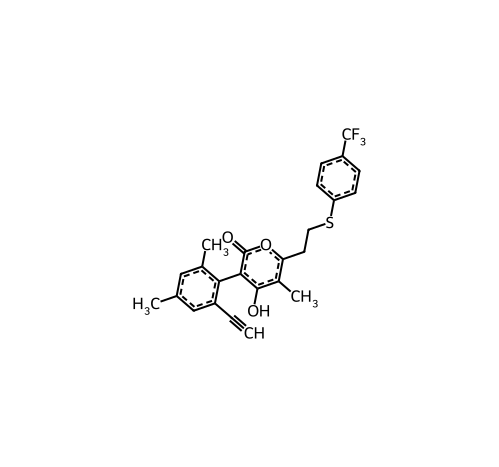 C#Cc1cc(C)cc(C)c1-c1c(O)c(C)c(CCSc2ccc(C(F)(F)F)cc2)oc1=O